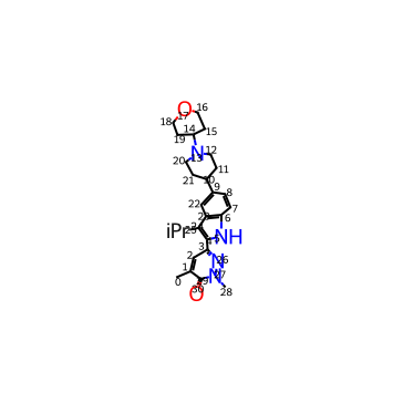 Cc1cc(-c2[nH]c3ccc(C4CCN(C5CCOCC5)CC4)cc3c2C(C)C)nn(C)c1=O